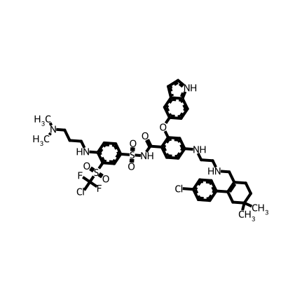 CN(C)CCCNc1ccc(S(=O)(=O)NC(=O)c2ccc(NCCNCC3=C(c4ccc(Cl)cc4)CC(C)(C)CC3)cc2Oc2ccc3[nH]ccc3c2)cc1S(=O)(=O)C(F)(F)Cl